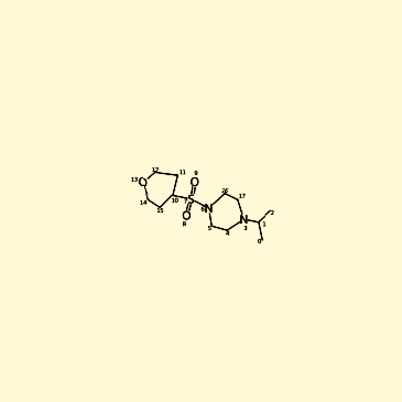 CC(C)N1CCN(S(=O)(=O)C2CCOCC2)CC1